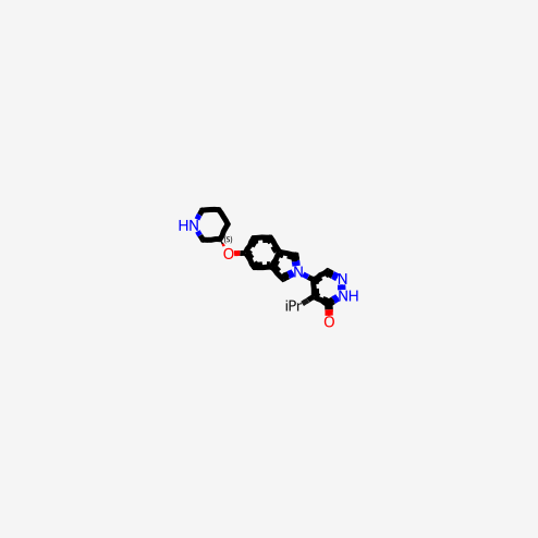 CC(C)c1c(-n2cc3ccc(O[C@H]4CCCNC4)cc3c2)cn[nH]c1=O